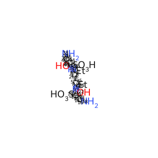 CCc1cc(-c2ccc(/N=N/c3c(S(=O)(=O)O)cc4ccc(N)cc4c3O)c(CC)c2)ccc1/N=N/c1c(S(=O)(=O)O)cc2cc(N)ccc2c1O